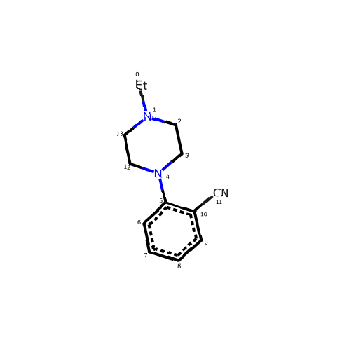 CCN1CCN(c2ccccc2C#N)CC1